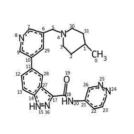 CC1CCN(Cc2cncc(-c3ccc4[nH]nc(C(=O)Nc5ccnnc5)c4c3)c2)CC1